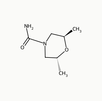 C[C@@H]1CN(C(N)=O)C[C@@H](C)O1